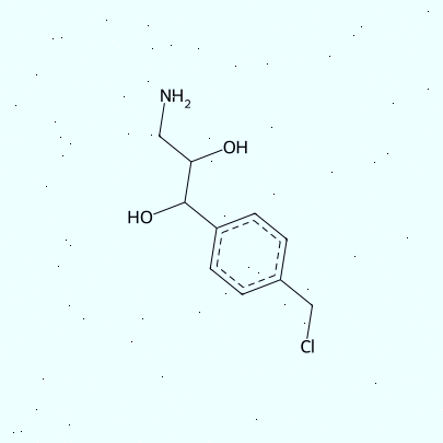 NCC(O)C(O)c1ccc(CCl)cc1